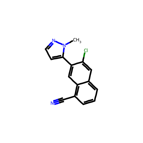 Cn1nccc1-c1cc2c(C#N)cccc2cc1Cl